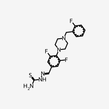 NC(=S)NN=Cc1cc(F)c(N2CCN(Cc3ccccc3F)CC2)c(F)c1